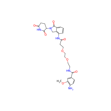 COc1cc(C(=O)NCCOCCOCCC(=O)Nc2cccc3c2CN(C2CCC(=O)NC2=O)C3=O)ccc1N